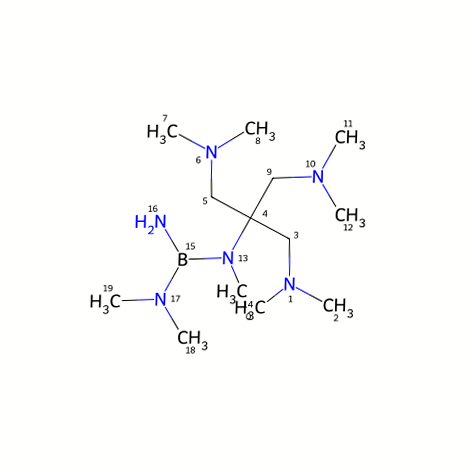 CN(C)CC(CN(C)C)(CN(C)C)N(C)B(N)N(C)C